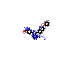 NC(=O)C1CCC(c2nc(-c3ccc4ccc(Oc5ccccc5)nc4c3)c3c(N)nccn23)CC1